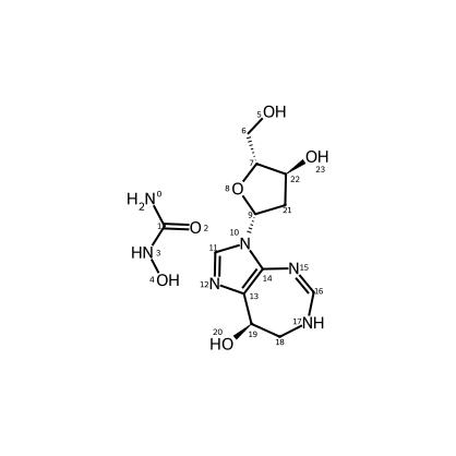 NC(=O)NO.OC[C@H]1O[C@@H](n2cnc3c2N=CNC[C@H]3O)C[C@@H]1O